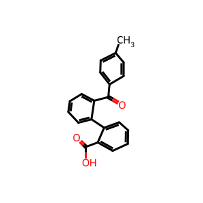 Cc1ccc(C(=O)c2ccccc2-c2ccccc2C(=O)O)cc1